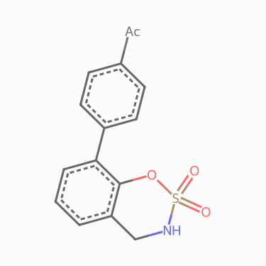 CC(=O)c1ccc(-c2cccc3c2OS(=O)(=O)NC3)cc1